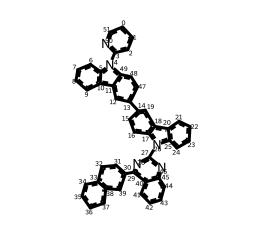 c1ccc(-n2c3ccccc3c3cc(-c4ccc5c(c4)c4ccccc4n5-c4nc(-c5ccc6ccccc6c5)c5ccccc5n4)ccc32)nc1